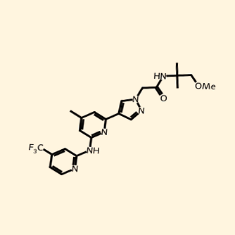 COCC(C)(C)NC(=O)Cn1cc(-c2cc(C)cc(Nc3cc(C(F)(F)F)ccn3)n2)cn1